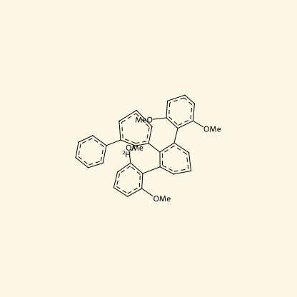 [2H]c1c(-c2ccccc2)cccc1-c1c(-c2c(OC)cccc2OC)cccc1-c1c(OC)cccc1OC